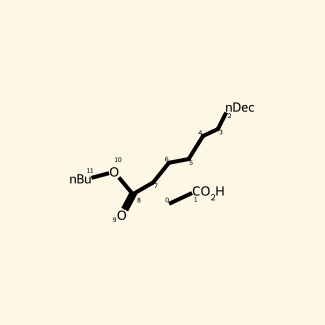 CC(=O)O.CCCCCCCCCCCCCCCC(=O)OCCCC